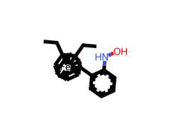 CC[C]12[CH]3[CH]4[C]5(c6ccccc6NO)[C]1(CC)[Fe]34251678[CH]2[CH]1[CH]6[CH]7[CH]28